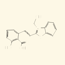 CC[n+]1c(/C=C/c2cccc(O)c2C(=O)O)sc2ccccc21